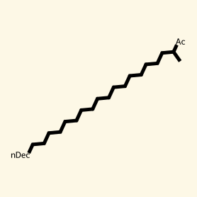 CCCCCCCCCCCCCCCCCCCCCCCCCCCC(C)C(C)=O